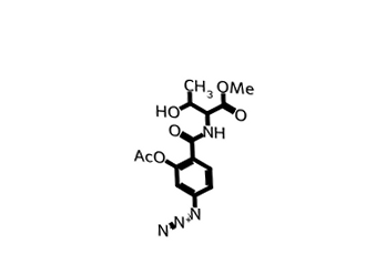 COC(=O)C(NC(=O)c1ccc(N=[N+]=[N-])cc1OC(C)=O)C(C)O